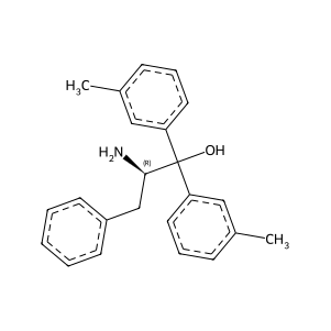 Cc1cccc(C(O)(c2cccc(C)c2)[C@H](N)Cc2ccccc2)c1